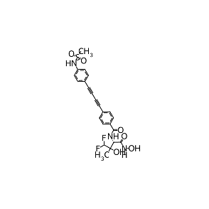 CC(O)(C(F)F)[C@H](NC(=O)c1ccc(C#CC#Cc2ccc(NS(C)(=O)=O)cc2)cc1)C(=O)NO